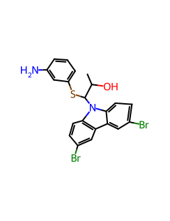 CC(O)C(Sc1cccc(N)c1)n1c2ccc(Br)cc2c2cc(Br)ccc21